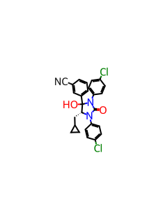 N#Cc1cccc(C2(O)[C@@H](CC3CC3)N(c3ccc(Cl)cc3)C(=O)N2c2ccc(Cl)cc2)c1